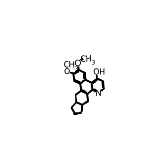 COc1cc2c3c(c4nccc(O)c4c2cc1OC)CC1CCCC1C3